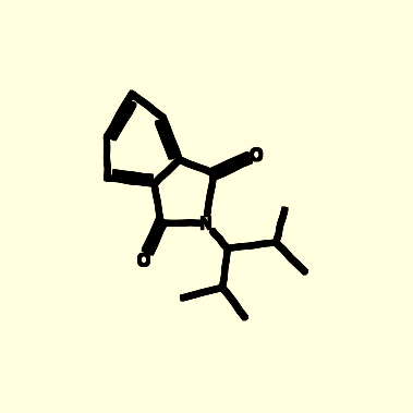 CC(C)C(C(C)C)N1C(=O)c2ccccc2C1=O